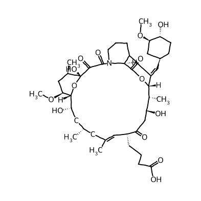 CO[C@H]1C[C@@H](C)[C@@]2(O)O[C@@H]1[C@@H](O)C[C@@H](C)C/C(C)=C/[C@@H](CCCC(=O)O)C(=O)C[C@H](O)[C@@H](C)[C@@H]1OC(=O)[C@@H]3C(CCCN3C(=O)C2=O)/C1=C\[C@@H]1CC[C@@H](O)[C@H](OC)C1